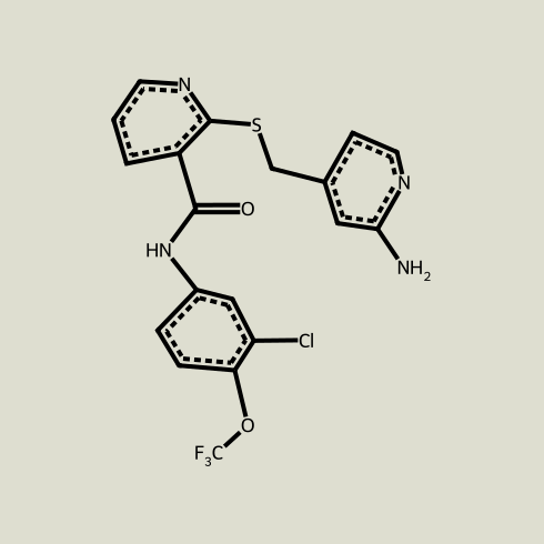 Nc1cc(CSc2ncccc2C(=O)Nc2ccc(OC(F)(F)F)c(Cl)c2)ccn1